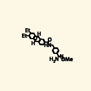 CCc1cc2c(cc1CC)[C@H]1O[C@@H]2c2ccc(C(=O)NCc3ccc(C(N)=NOC)cc3)cc21